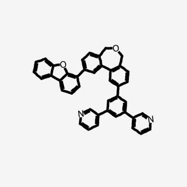 c1cncc(-c2cc(-c3cccnc3)cc(-c3ccc4c(c3)-c3cc(-c5cccc6c5oc5ccccc56)ccc3COC4)c2)c1